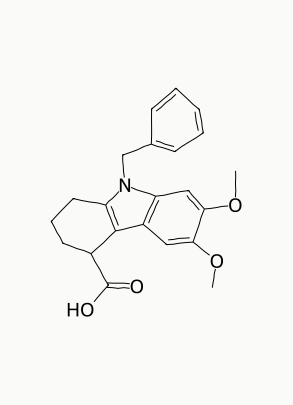 COc1cc2c3c(n(Cc4ccccc4)c2cc1OC)CCCC3C(=O)O